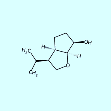 CC(C)[C@@H]1CO[C@H]2[C@@H]1CC[C@H]2O